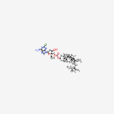 C#C[C@]1(COC(=O)O[C@H]2CC[C@@]3(C)C(=CC[C@H]4[C@@H]5CC[C@H]([C@H](C)CC[C@@H](C)C(C)C)[C@@]5(C)CC[C@@H]43)C2)O[C@@H](n2cnc3c(N)nc(Cl)nc32)C[C@@H]1O